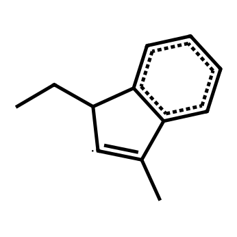 CCC1[C]=C(C)c2ccccc21